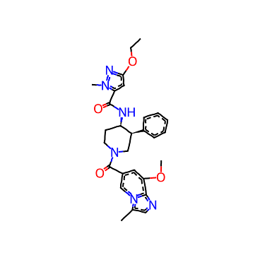 CCOc1cc(C(=O)N[C@@H]2CCN(C(=O)c3cc(OC)c4ncc(C)n4c3)C[C@@H]2c2ccccc2)n(C)n1